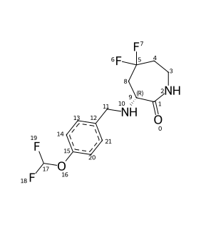 O=C1NCCC(F)(F)C[C@H]1NCc1ccc(OC(F)F)cc1